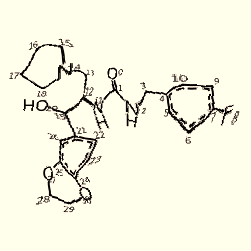 O=C(NCc1ccc(F)cc1)N[C@H](CN1CCCC1)C(O)c1ccc2c(c1)OCCO2